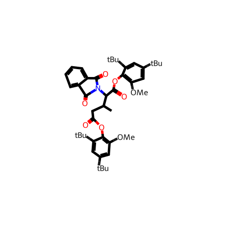 COc1cc(C(C)(C)C)cc(C(C)(C)C)c1OC(=O)CC(C)C(C(=O)Oc1c(OC)cc(C(C)(C)C)cc1C(C)(C)C)N1C(=O)c2ccccc2C1=O